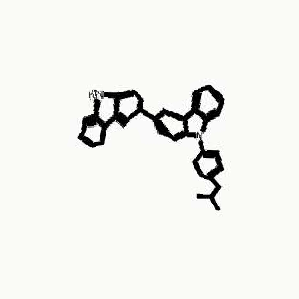 CC(C)Cc1ccc(-n2c3ccccc3c3cc(-c4ccc5[nH]c6ccccc6c5c4)ccc32)cc1